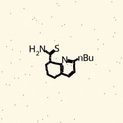 CCCCc1ccc2c(n1)C(C(N)=S)CCC2